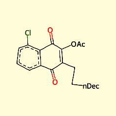 CCCCCCCCCCCCC1=C(OC(C)=O)C(=O)c2c(Cl)cccc2C1=O